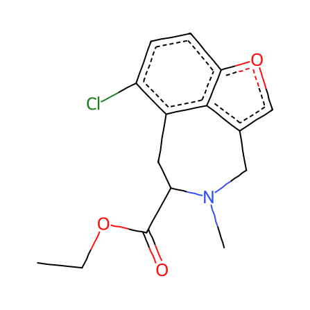 CCOC(=O)C1Cc2c(Cl)ccc3occ(c23)CN1C